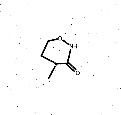 CC1CCONC1=O